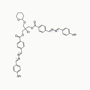 CCCc1ccc(/C=N/N=C/c2ccc(C(=O)OCC(CC)(COC(=O)c3ccc(/C=N/N=C/c4ccc(CCC)cc4)cc3)COC3CCCCO3)cc2)cc1